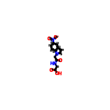 O=C(O)CNC(=O)Cn1ccc2cc([N+](=O)[O-])ccc21